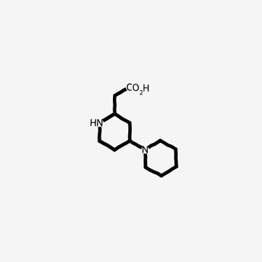 O=C(O)CC1CC(N2CCCCC2)CCN1